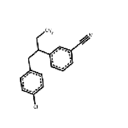 CCC(Cc1ccc(Cl)cc1)c1cccc(C#N)c1